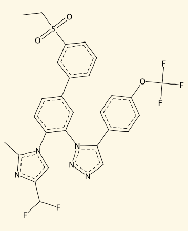 CCS(=O)(=O)c1cccc(-c2ccc(-n3cc(C(F)F)nc3C)c(-n3nncc3-c3ccc(OC(F)(F)F)cc3)c2)c1